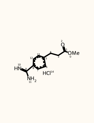 COC(=O)CCc1ccc(C(=N)N)cc1.Cl